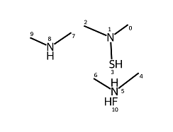 CN(C)S.CNC.CNC.F